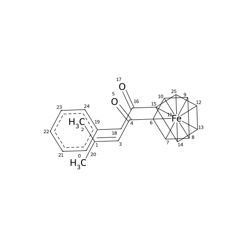 CC(C)=CC(=O)[C]12[CH]3[CH]4[CH]5[CH]1[Fe]45321678[CH]2[CH]1[CH]6[C]7(C(=O)Cc1ccccc1)[CH]28